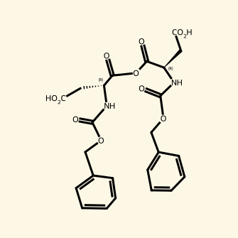 O=C(O)C[C@@H](NC(=O)OCc1ccccc1)C(=O)OC(=O)[C@@H](CC(=O)O)NC(=O)OCc1ccccc1